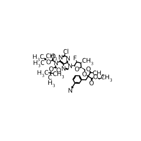 CCOC(=O)C(Cc1cccc(C#N)c1)(OC[C@H]1O[C@@H](n2cnc3c(N(C(=O)OC(C)(C)C)C(=O)OC(C)(C)C)nc(Cl)nc32)[C@@H](F)[C@@H]1C)C(C)=O